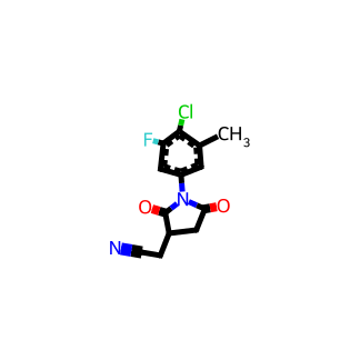 Cc1cc(N2C(=O)CC(CC#N)C2=O)cc(F)c1Cl